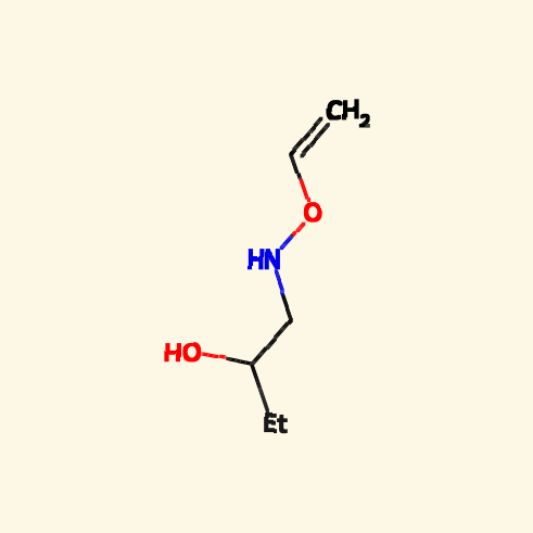 C=CONCC(O)CC